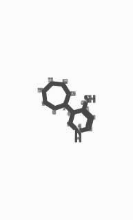 SC1=C=CNCC1C1CCCCCC1